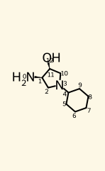 N[C@@H]1CN(C2CCCCC2)C[C@@H]1O